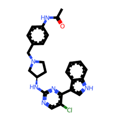 CC(=O)Nc1ccc(CN2CC[C@@H](Nc3ncc(Cl)c(-c4c[nH]c5ccccc45)n3)C2)cc1